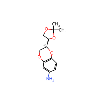 CC1(C)OCC([C@@H]2COc3cc(N)ccc3O2)O1